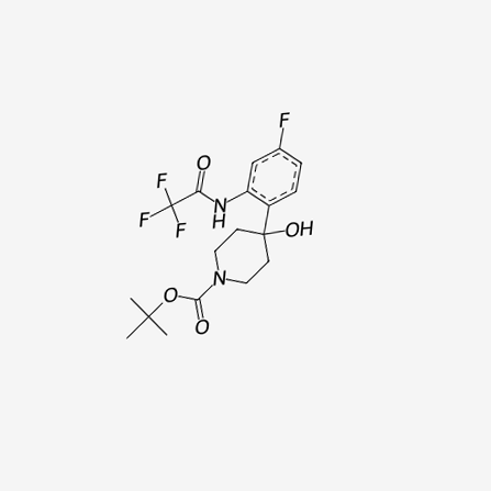 CC(C)(C)OC(=O)N1CCC(O)(c2ccc(F)cc2NC(=O)C(F)(F)F)CC1